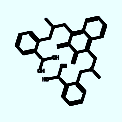 C=c1c(CN(C)Cc2ccccc2B(O)O)c2ccccc2c(CN(C)Cc2ccccc2B(O)O)c1=C